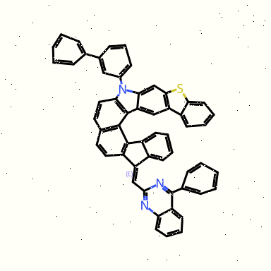 C(=C1/c2ccccc2-c2c1ccc1ccc3c(c4cc5c(cc4n3-c3cccc(-c4ccccc4)c3)sc3ccccc35)c21)/c1nc(-c2ccccc2)c2ccccc2n1